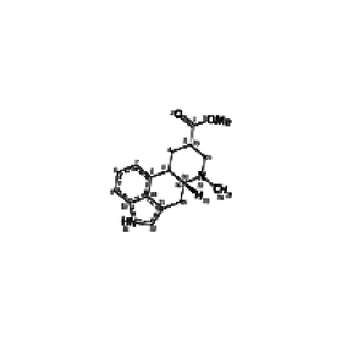 COC(=O)[C@H]1CC2c3cccc4[nH]cc(c34)C[C@H]2N(C)C1